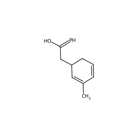 CC1=CC(CC(O)=P)CC=C1